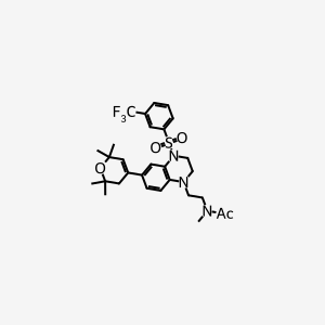 CC(=O)N(C)CCN1CCN(S(=O)(=O)c2cccc(C(F)(F)F)c2)c2cc(C3=CC(C)(C)OC(C)(C)C3)ccc21